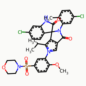 COc1ccc(S(=O)(=O)N2CCOCC2)cc1-n1cc2c(c1C(C)C)C1(C(=O)Nc3cc(Cl)ccc31)N(c1cc(Cl)ccc1C)C2=O